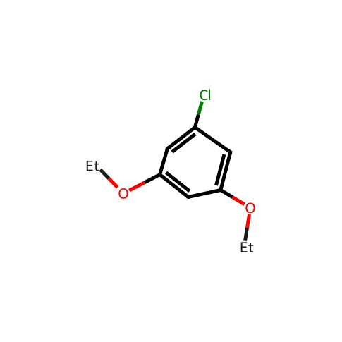 CCOc1cc(Cl)cc(OCC)c1